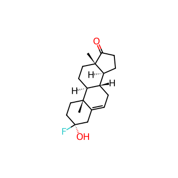 C[C@]12CC[C@](O)(F)CC1=CC[C@@H]1[C@@H]2CC[C@]2(C)C(=O)CC[C@@H]12